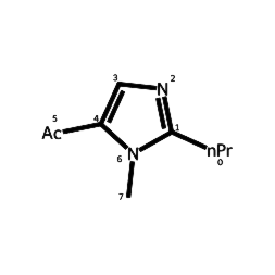 CCCc1ncc(C(C)=O)n1C